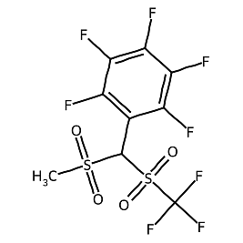 CS(=O)(=O)C(c1c(F)c(F)c(F)c(F)c1F)S(=O)(=O)C(F)(F)F